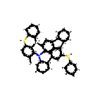 Cc1ccc2c3c1N(c1ccccc1-c1cccc(Sc4ccccc4)c1)c1cc4c(cc1B3c1ccccc1S2)-c1ccccc1C4